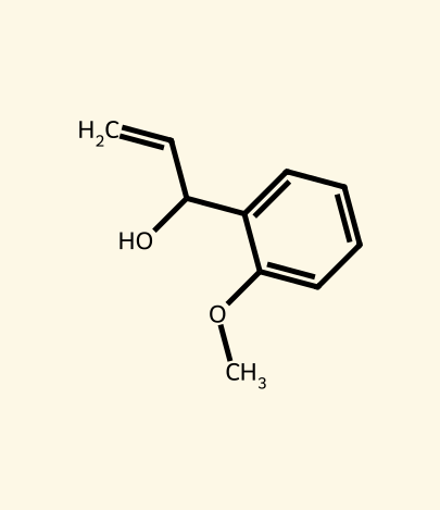 C=CC(O)c1ccccc1OC